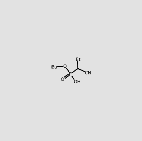 CCC(C)OP(=O)(O)C(C#N)CC